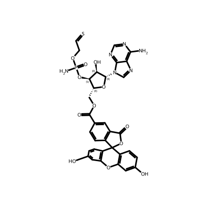 Nc1ncnc2c1ncn2[C@@H]1O[C@H](COC(=O)c2ccc3c(c2)C(=O)OC32c3ccc(O)cc3Oc3cc(O)ccc32)[C@@H](OP(N)(=O)OCC=S)[C@H]1O